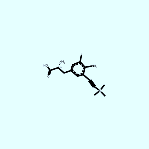 C[Si](C)(C)C#Cc1cc(C[C@@H](N)C(=O)O)cc(Cl)c1N